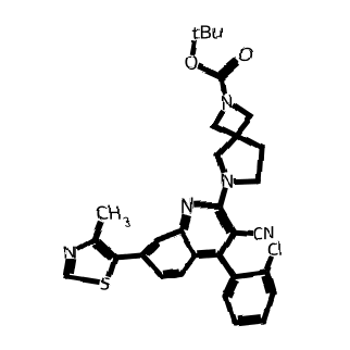 Cc1ncsc1-c1ccc2c(-c3ccccc3Cl)c(C#N)c(N3CCC4(CN(C(=O)OC(C)(C)C)C4)C3)nc2c1